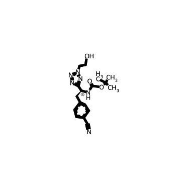 CC(C)(C)OC(=O)N[C@@H](Cc1ccc(C#N)cc1)c1nnn(CCO)n1